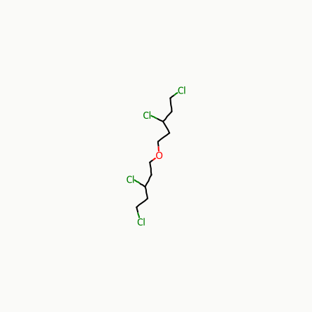 ClCCC(Cl)CCOCCC(Cl)CCCl